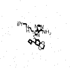 CC(C)CNCCn1c(Sc2cc3c(cc2C2=CC=C2)OCCO3)nc2c(N)ncnc21